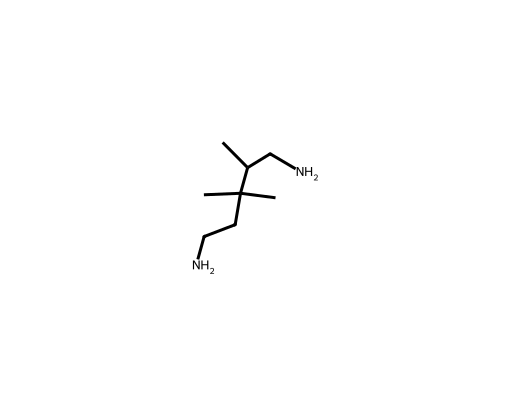 CC(CN)C(C)(C)CCN